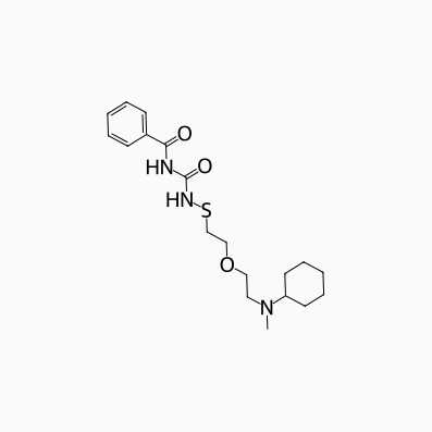 CN(CCOCCSNC(=O)NC(=O)c1ccccc1)C1CCCCC1